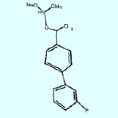 CO[SiH](OC)OC(C)c1ccc(-c2cccc(F)c2)cc1